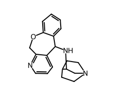 c1ccc2c(c1)OCc1ncccc1C2NC1CN2CCC1CC2